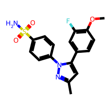 COc1ccc(-c2cc(C)nn2-c2ccc(S(N)(=O)=O)cc2)cc1F